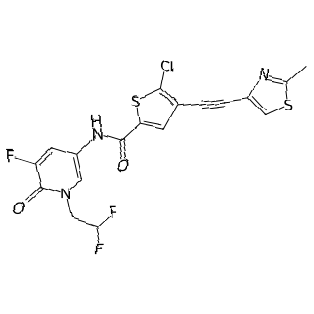 Cc1nc(C#Cc2cc(C(=O)Nc3cc(F)c(=O)n(CC(F)F)c3)sc2Cl)cs1